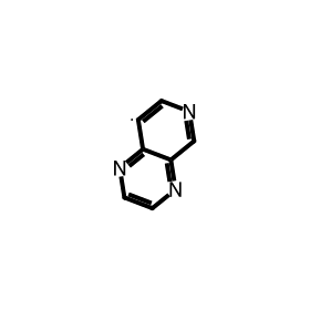 [c]1cncc2nccnc12